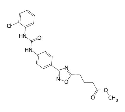 COC(=O)CCCc1nc(-c2ccc(NC(=O)Nc3ccccc3Cl)cc2)no1